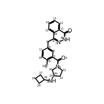 O=C(c1cc(Cc2n[nH]c(=O)c3ccccc23)ccc1F)N1CC[C@@H](NC2CCC2)C1